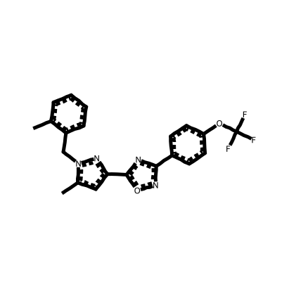 Cc1ccccc1Cn1nc(-c2nc(-c3ccc(OC(F)(F)F)cc3)no2)cc1C